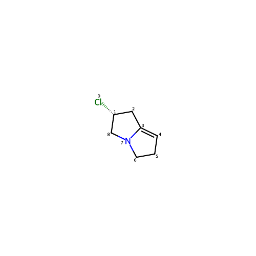 Cl[C@@H]1CC2=CCCN2C1